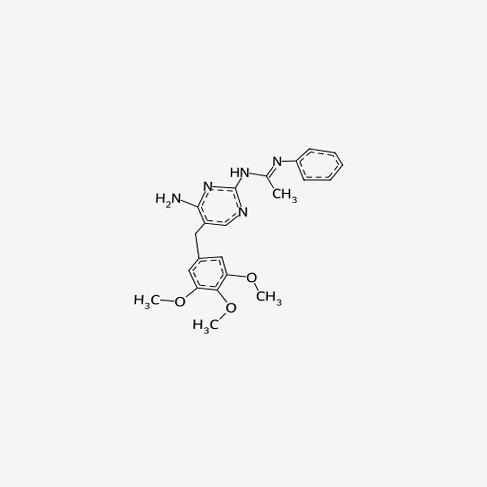 COc1cc(Cc2cnc(N/C(C)=N/c3ccccc3)nc2N)cc(OC)c1OC